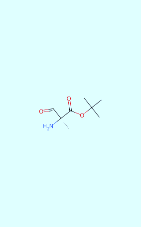 CC(C)(C)OC(=O)[C@@](C)(N)C=O